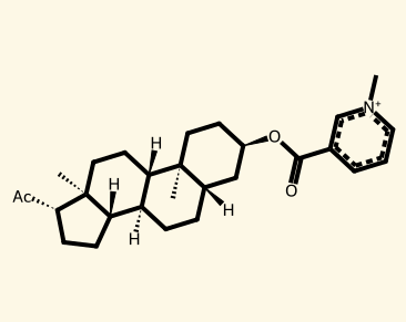 CC(=O)[C@H]1CC[C@H]2[C@@H]3CC[C@H]4C[C@H](OC(=O)c5ccc[n+](C)c5)CC[C@]4(C)[C@H]3CC[C@]12C